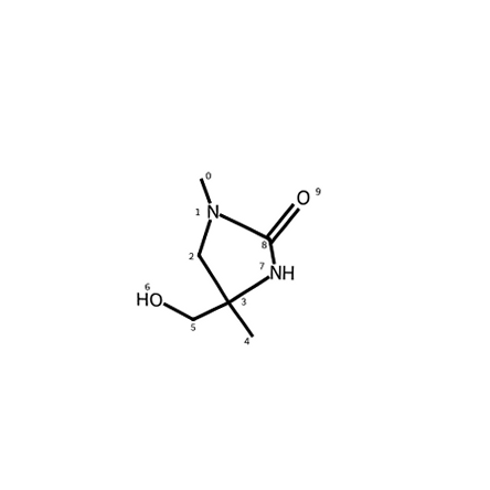 CN1CC(C)(CO)NC1=O